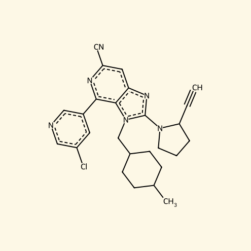 C#CC1CCCN1c1nc2cc(C#N)nc(-c3cncc(Cl)c3)c2n1CC1CCC(C)CC1